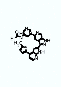 CCC(=O)Nc1cncc(-c2cc3c(-c4cc5c(-c6ccc(C)s6)ccnc5[nH]4)n[nH]c3cn2)c1